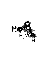 Nc1nc(NC2Cc3ccccc3N(S(=O)(=O)c3ccc(OC(F)(F)F)cc3)C2)c2cn[nH]c2n1